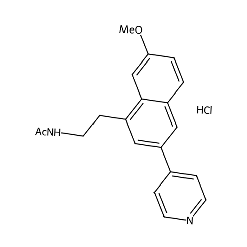 COc1ccc2cc(-c3ccncc3)cc(CCNC(C)=O)c2c1.Cl